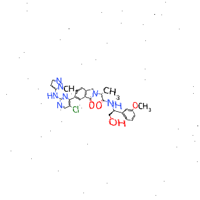 COc1cccc([C@@H](CO)NC(=O)[C@@H](C)N2Cc3ccc(-c4nc(Nc5ccnn5C)ncc4Cl)cc3C2=O)c1